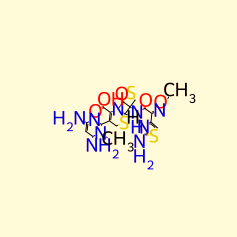 CCO/N=C(\C(=O)NC1(C=S)C(=O)N2C(C(=O)O)=C(C3=NC(N)=CC(N)N3C)CS[C@H]21)c1csc(N)n1